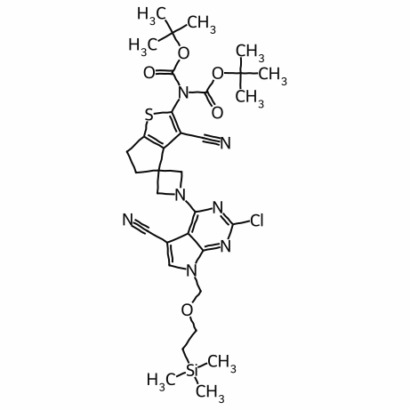 CC(C)(C)OC(=O)N(C(=O)OC(C)(C)C)c1sc2c(c1C#N)C1(CC2)CN(c2nc(Cl)nc3c2c(C#N)cn3COCC[Si](C)(C)C)C1